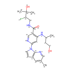 CC(CCO)Nc1cc(-n2ccc3cc(C#N)cnc32)ncc1C(=O)NCC(F)C(C)(C)O